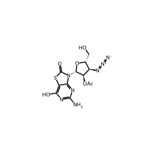 CC(=O)O[C@@H]1[C@H](N=[N+]=[N-])[C@@H](CO)O[C@H]1n1c(=O)sc2c(O)nc(N)nc21